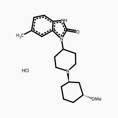 CO[C@@H]1CCC[C@@H](N2CCC(n3c(=O)[nH]c4ccc(C)cc43)CC2)C1.Cl